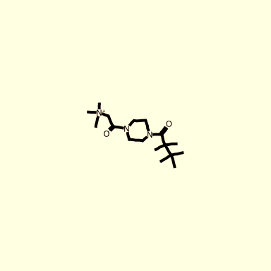 CC(C)(C)C(C)(C)C(=O)N1CCN(C(=O)C[N+](C)(C)C)CC1